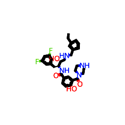 CCc1cccc(CNC[C@H](O)[C@H](Cc2cc(F)cc(F)c2)NC(=O)c2ccc(O)c(C(=O)N3CCNCC3)c2)c1